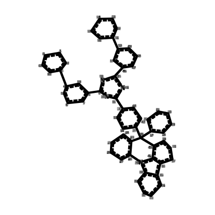 c1ccc(-c2cccc(-c3nc(-c4ccc(C5(c6ccccc6)c6ccccc6-n6c7ccccc7c7cccc5c76)cc4)nc(-c4cccc(-c5ccccc5)c4)n3)c2)cc1